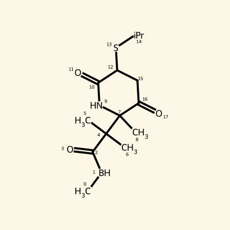 CBC(=O)C(C)(C)C1(C)NC(=O)C(SC(C)C)CC1=O